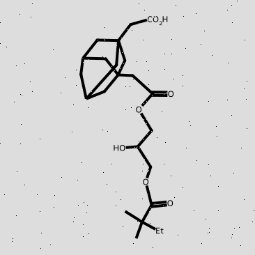 CCC(C)(C)C(=O)OCC(O)COC(=O)CC12CC3CC(CC(CC(=O)O)(C3)C1)C2